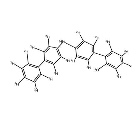 [2H]c1c([2H])c([2H])c(-c2c([2H])c([2H])c(Nc3c([2H])c([2H])c(-c4c([2H])c([2H])c([2H])c([2H])c4[2H])c([2H])c3[2H])c([2H])c2[2H])c([2H])c1[2H]